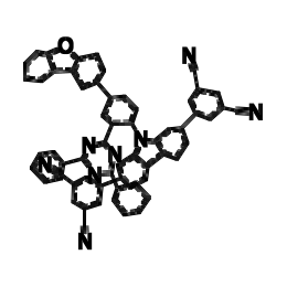 N#Cc1cc(C#N)cc(-c2ccc3c4ccc(-c5cc(C#N)cc(C#N)c5)cc4n(-c4ccc(-c5ccc6oc7ccccc7c6c5)cc4-c4nc(-c5ccccc5)nc(-c5ccccc5)n4)c3c2)c1